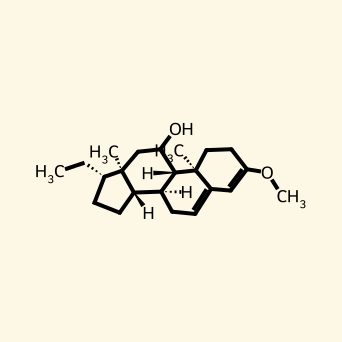 CC[C@H]1CC[C@H]2[C@@H]3CC=C4C=C(OC)CC[C@]4(C)[C@H]3C(O)C[C@]12C